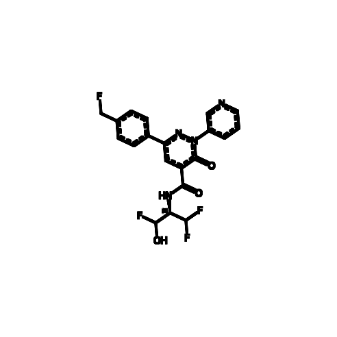 O=C(N[C@H](C(O)F)C(F)F)c1cc(-c2ccc(CF)cc2)nn(-c2cccnc2)c1=O